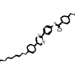 CCCCCCCCCC1CCC(c2cnc(-c3ccc(OC(=O)C4CCC(CCC)CC4)cc3)nc2)CC1